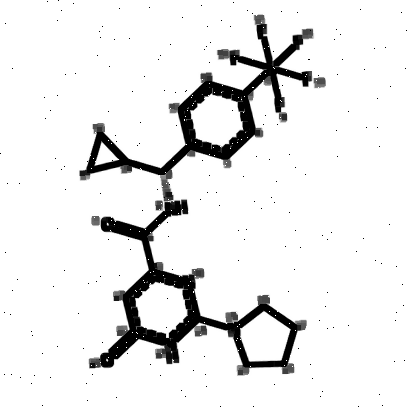 O=C(N[C@@H](c1ccc(S(F)(F)(F)(F)F)cc1)C1CC1)c1cc(=O)[nH]c(N2CCCC2)n1